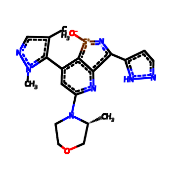 Cc1cnn(C)c1-c1cc(N2CCOC[C@H]2C)nc2c(-c3ccn[nH]3)n[s+]([O-])c12